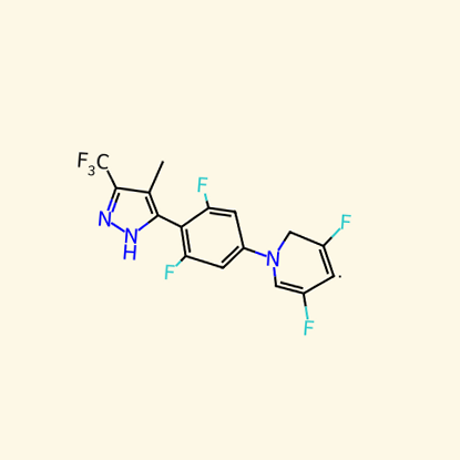 Cc1c(C(F)(F)F)n[nH]c1-c1c(F)cc(N2C=C(F)[C]=C(F)C2)cc1F